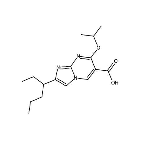 CCCC(CC)c1cn2cc(C(=O)O)c(OC(C)C)nc2n1